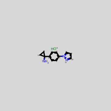 Cl.NC1(c2ccc(-n3cccn3)cc2)CC1